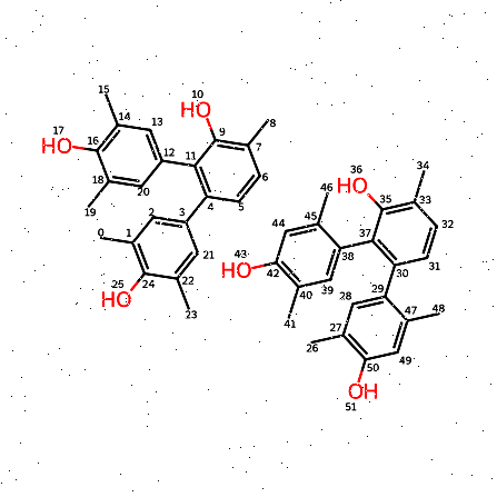 Cc1cc(-c2ccc(C)c(O)c2-c2cc(C)c(O)c(C)c2)cc(C)c1O.Cc1cc(-c2ccc(C)c(O)c2-c2cc(C)c(O)cc2C)c(C)cc1O